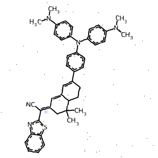 CN(C)c1ccc(N(c2ccc(C3=CC4=C/C(=C(\C#N)c5nc6ccccc6s5)CC(C)(C)C4CC3)cc2)c2ccc(N(C)C)cc2)cc1